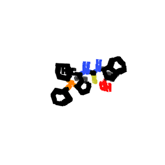 C[C@@H](NC(=S)N[C@H]1c2ccccc2C[C@@H]1O)[C@@H]1CCCC1P(c1ccccc1)c1ccccc1